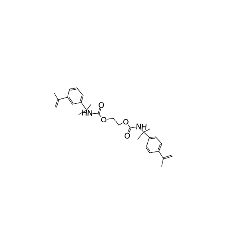 C=C(C)c1ccc(C(C)(C)NC(=O)OCCOC(=O)NC(C)(C)c2cccc(C(=C)C)c2)cc1